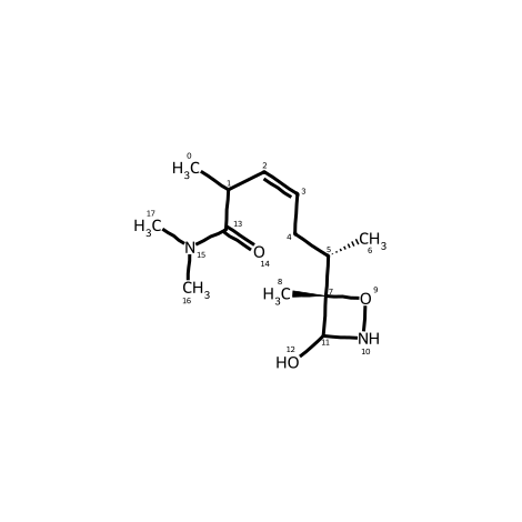 CC(/C=C\C[C@H](C)[C@]1(C)ONC1O)C(=O)N(C)C